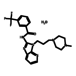 CN1CCN(CCCn2c(NC(=O)c3cccc(C(F)(F)F)c3)nc3cccnc32)CC1.O